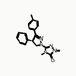 Cc1ccc(C2=NN(c3nn(C)c(=O)n3C)C[C@H]2c2ccccc2)cc1